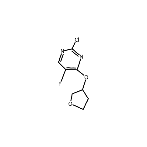 Fc1cnc(Cl)nc1OC1CCOC1